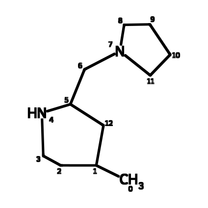 CC1CCNC(CN2CCCC2)C1